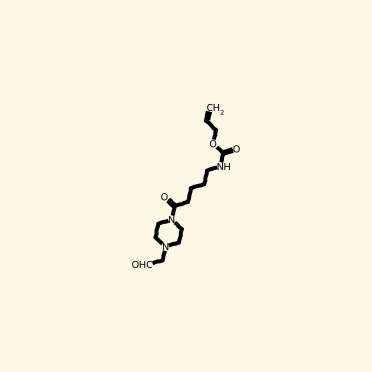 C=CCOC(=O)NCCCCC(=O)N1CCN(CC=O)CC1